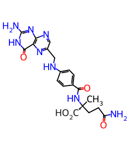 C[C@](CCC(N)=O)(NC(=O)c1ccc(NCc2cnc3nc(N)[nH]c(=O)c3n2)cc1)C(=O)O